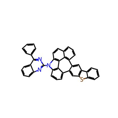 c1ccc(-c2nc(-n3c4cccc5c4c4c6c(cccc6ccc43)-c3cc4c(cc3-5)sc3ccccc34)nc3ccccc23)cc1